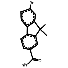 CCCC(=O)c1ccc2c(c1)C(C)(C)c1cc(Br)ccc1-2